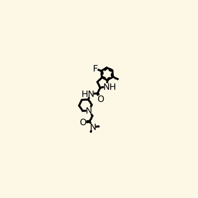 Cc1ccc(F)c2c1NC(C(=O)NC1CCCN(CC(=O)N(C)C)C1)C2